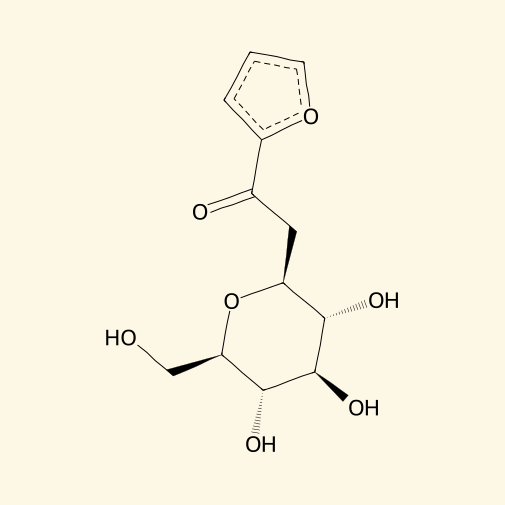 O=C(C[C@@H]1O[C@H](CO)[C@@H](O)[C@H](O)[C@H]1O)c1ccco1